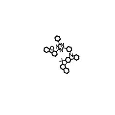 CC1(C)c2cc3c(cc2-c2c1ccc1ccccc21)c1ccccc1n3-c1cccc(-c2nc(-c3ccccc3)nc(-c3cccc4c3oc3ccccc34)n2)c1